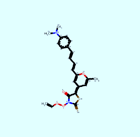 C=COON1C(=O)/C(=C2/C=C(C)OC(/C=C/C=C/c3ccc(N(C)C)cc3)=C2)SC1=S